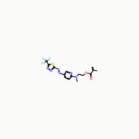 C=C(C)C(=O)OCCN(C)c1ccc(/N=N/c2nnc(C(F)(F)F)s2)cn1